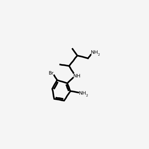 CC(CN)C(C)Nc1c(N)cccc1Br